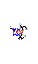 CCOP(=O)(NC(C)(C)CC)NC(C)(C)CC